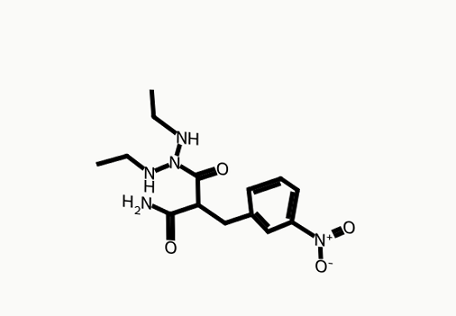 CCNN(NCC)C(=O)C(Cc1cccc([N+](=O)[O-])c1)C(N)=O